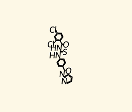 O=C(NC(=S)Nc1ccc(-c2nc3ncccc3o2)cc1)c1ccc(Cl)cc1Cl